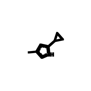 Cc1c[nH]c(C2CC2)c1